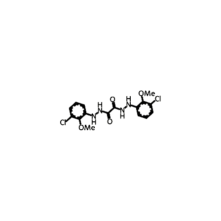 COc1c(Cl)cccc1NNC(=O)C(=O)NNc1cccc(Cl)c1OC